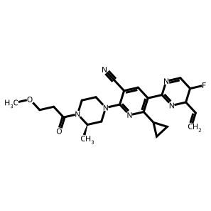 C=CC1N=C(c2cc(C#N)c(N3CCN(C(=O)CCOC)[C@H](C)C3)nc2C2CC2)N=CC1F